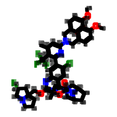 COc1ccc(CN(Cc2ccc(OC)cc2)c2cc(C)c(C(F)(F)F)c(-c3cc4nc(OC[C@@]56CCCN5C[C@H](F)C6)nc(N5CC6CCC(C5)N6C(=O)OC(C)(C)C)c4cc3Cl)n2)cc1